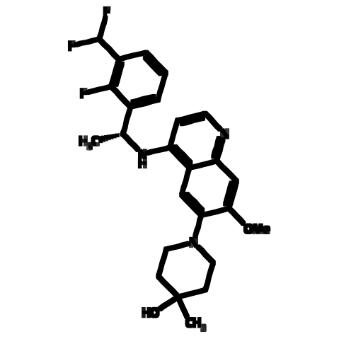 COc1cc2nccc(N[C@H](C)c3cccc(C(F)F)c3F)c2cc1N1CCC(C)(O)CC1